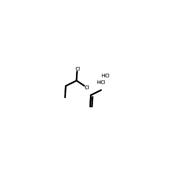 C=CC.CCC(Cl)Cl.Cl.Cl